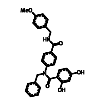 COc1ccc(CNC(=O)c2ccc(N(Cc3ccccc3)C(=O)c3ccc(O)cc3O)cc2)cc1